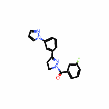 O=C(c1cccc(F)c1)N1CCC(c2cccc(-n3cccn3)c2)=N1